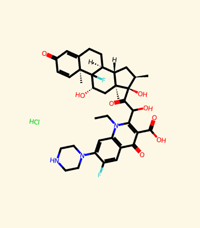 CCn1c(C(O)C(=O)[C@@]2(O)[C@H](C)C[C@H]3[C@@H]4CCC5=CC(=O)C=C[C@]5(C)C4(F)[C@@H](O)C[C@@]32C)c(C(=O)O)c(=O)c2cc(F)c(N3CCNCC3)cc21.Cl